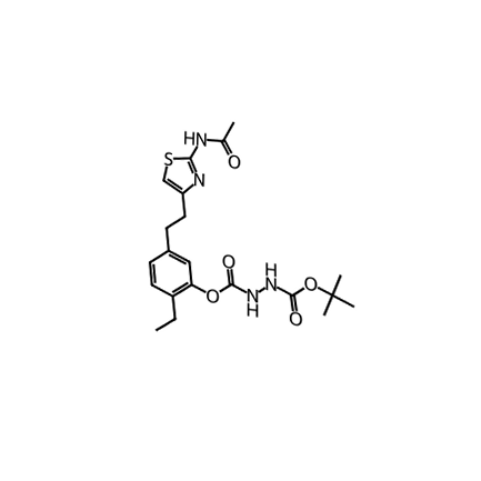 CCc1ccc(CCc2csc(NC(C)=O)n2)cc1OC(=O)NNC(=O)OC(C)(C)C